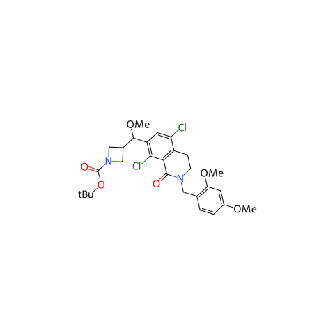 COc1ccc(CN2CCc3c(Cl)cc(C(OC)C4CN(C(=O)OC(C)(C)C)C4)c(Cl)c3C2=O)c(OC)c1